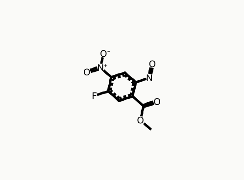 COC(=O)c1cc(F)c([N+](=O)[O-])cc1N=O